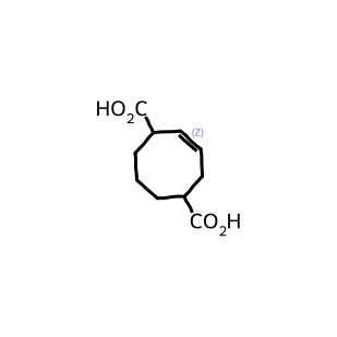 O=C(O)C1/C=C\CC(C(=O)O)CCC1